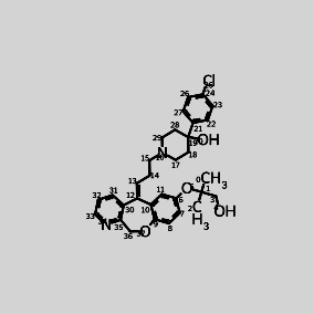 CC(C)(CO)Oc1ccc2c(c1)C(=CCCN1CCC(O)(c3ccc(Cl)cc3)CC1)c1cccnc1CO2